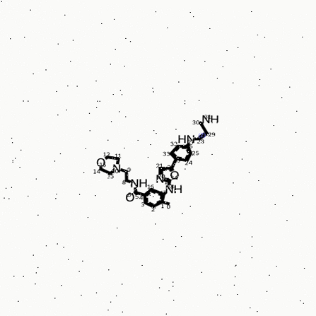 Cc1ccc(C(=O)NCCN2CCOCC2)cc1Nc1ncc(-c2ccc(N/C=C\C=N)cc2)o1